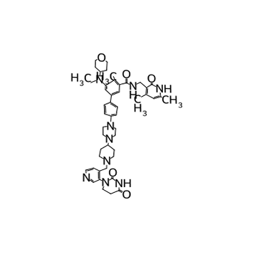 CCN(c1cc(-c2ccc(N3CCN(C4CCN(Cc5ccncc5N5CCC(=O)NC5=O)CC4)CC3)cc2)cc(C(=O)NCc2c(C)cc(C)[nH]c2=O)c1C)C1CCOCC1